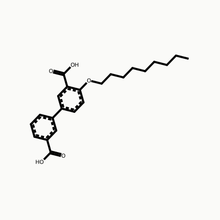 CCCCCCCCCOc1ccc(-c2cccc(C(=O)O)c2)cc1C(=O)O